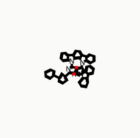 c1ccc(-c2cccc(-c3nc(-n4c5ccccc5c5ccccc54)cc(-n4c5ccccc5c5ccc6c7ccccc7n(-c7ccccc7)c6c54)n3)c2)cc1